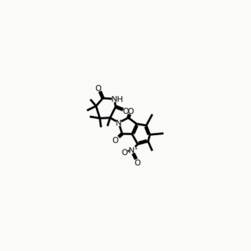 Cc1c(C)c2c(c([N+](=O)[O-])c1C)C(=O)N(C1(C)C(=O)NC(=O)C(C)(C)C1(C)C)C2=O